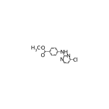 COC(=O)c1ccc(Nc2nccc(Cl)n2)cc1